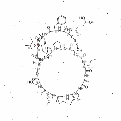 C=C1NC(=O)[C@H]([C@@H](C)CC)NC(=O)[C@@H]2CSSC[C@H](NC(=O)CCC(O)O)C(=O)N[C@H](Cc3ccccc3)C(=O)N[C@H](C)C(=O)N[C@@H](C[C@@H](C)CC)C(=O)N[C@@H](C(=O)N[C@H](Cc3ccccc3)C(=O)N3CCC[C@H]3CC(=O)N2)[C@@H](C)OC(=O)[C@H](CO)NC(=O)[C@H]([C@@H](C)OC)N(C)C(=O)C(C(C)C)NC(=O)[C@H](C[C@H](C)CC)NC1=O